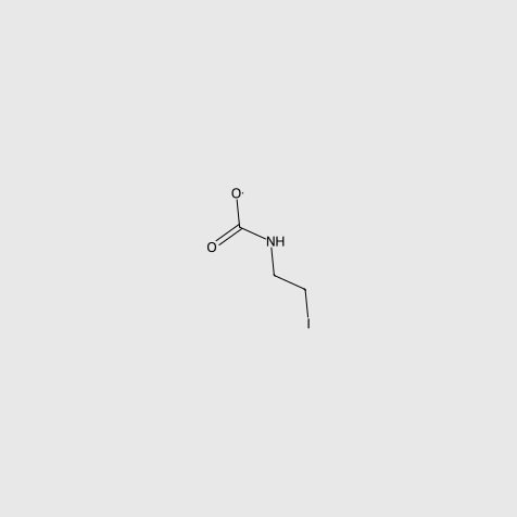 [O]C(=O)NCCI